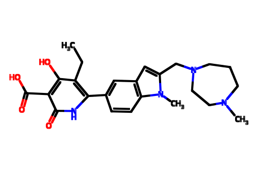 CCc1c(-c2ccc3c(c2)cc(CN2CCCN(C)CC2)n3C)[nH]c(=O)c(C(=O)O)c1O